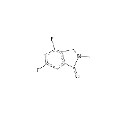 CN1Cc2c(F)cc(F)cc2C1=O